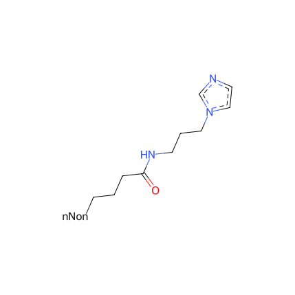 CCCCCCCCCCCCC(=O)NCCCn1ccnc1